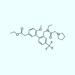 CCOC(=O)Cc1ccc(OC)c(-c2ccc(C(F)(F)F)cc2CN(CC)C(=O)CN2CCCC2)c1